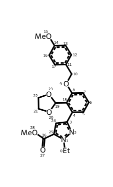 CCn1nc(-c2cccc(OCc3ccc(OC)cc3)c2C2OCCO2)cc1C(=O)OC